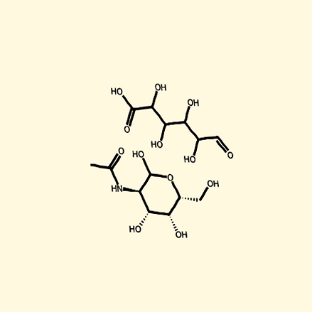 CC(=O)N[C@H]1C(O)O[C@H](CO)[C@H](O)[C@@H]1O.O=CC(O)C(O)C(O)C(O)C(=O)O